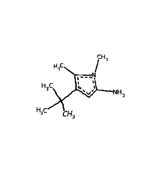 Cc1c(C(C)(C)C)cc(N)n1C